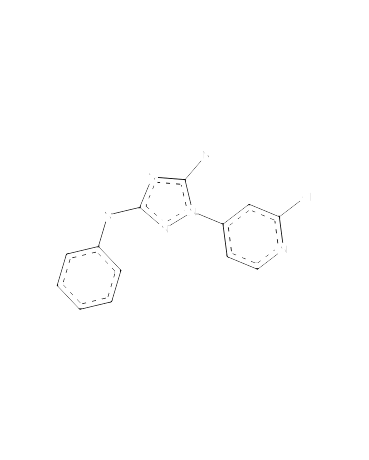 Nc1nc(Nc2ccccc2)nn1-c1ccnc(Cl)c1